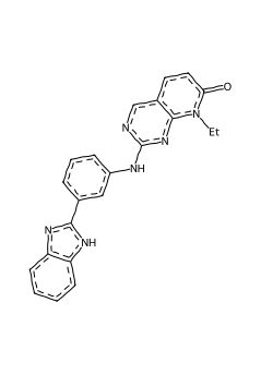 CCn1c(=O)ccc2cnc(Nc3cccc(-c4nc5ccccc5[nH]4)c3)nc21